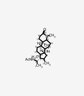 CC(=O)NC(C)[C@H]1C(C)C[C@H]2[C@@H]3CCC4N(C)C(=O)CC[C@]4(C)[C@H]3CC[C@]12C